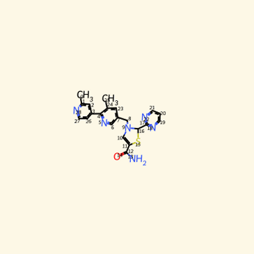 Cc1cc(-c2ncc(CN3C=C(C(N)=O)SC3c3ncccn3)cc2C)ccn1